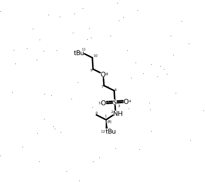 C[C@@H](NS(=O)(=O)CCOCCC(C)(C)C)C(C)(C)C